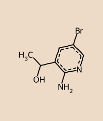 CC(O)c1cc(Br)cnc1N